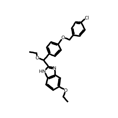 CCOc1ccc2[nH]c(C(OCC)c3ccc(OCc4ccc(Cl)cc4)cc3)nc2c1